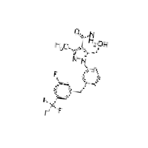 Cc1nn(-c2cc(Cc3cc(F)cc(C(F)(F)F)c3)ccn2)c(CO)c1C(N)=O